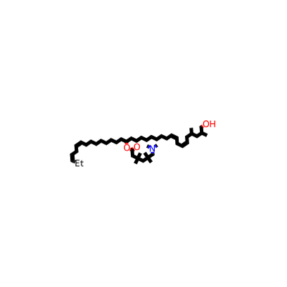 CC/C=C\C/C=C\CCCCCCCCC(CCCCCCCC/C=C\C/C=C\CC(C)CC(C)CO)OC(=O)CC(C)(C)CC(C)(C)CN(C)C